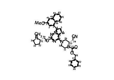 COc1cc(-c2cnc3c(N4CCN(C(=O)OCc5ccccc5)[C@@H](CC#N)C4)nc(OC[C@@H]4CCCN4C)nn23)c2ccccc2c1